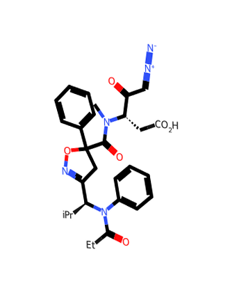 CCC(=O)N(c1ccccc1)[C@H](C1=NOC(C(=O)N(C)[C@@H](CC(=O)O)C(=O)C=[N+]=[N-])(c2ccccc2)C1)C(C)C